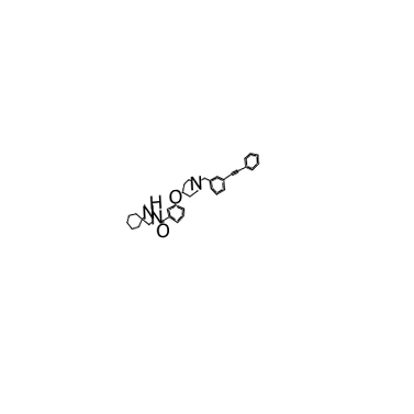 CN(C)C1(CNC(=O)c2cccc(OC3CCN(Cc4cccc(C#Cc5ccccc5)c4)CC3)c2)CCCCC1